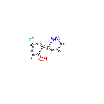 Oc1ccc(F)cc1-c1cccnn1